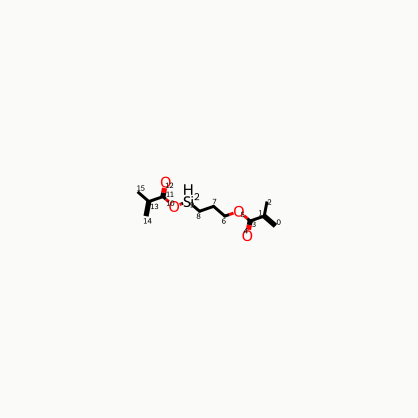 C=C(C)C(=O)OCCC[SiH2]OC(=O)C(=C)C